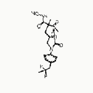 CC(F)(F)Cc1ccc(N2CC(CC(C)(C(=O)NO)S(C)(=O)=O)OC2=O)cc1